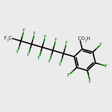 O=C(O)c1c(F)c(F)c(F)c(F)c1C(F)(F)C(F)(F)C(F)(F)C(F)(F)C(F)(F)C(F)(F)F